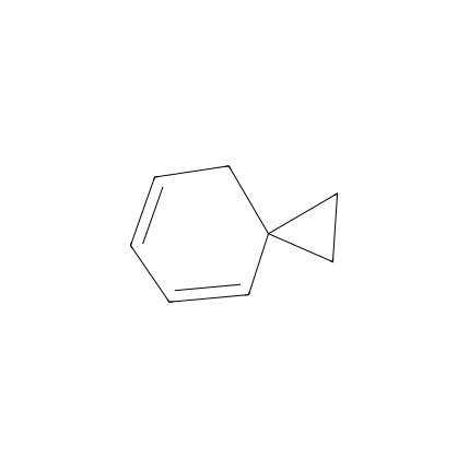 C1=CCC2(C=C1)CC2